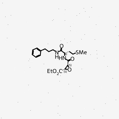 CCOC(=O)[C@H]1O[C@@H]1C(=O)N[C@@H](CCSC)C(=O)NCCCc1ccccc1